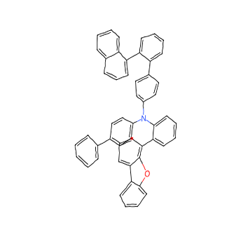 c1ccc(-c2ccc(N(c3ccc(-c4ccccc4-c4cccc5ccccc45)cc3)c3ccccc3-c3cccc4c3oc3ccccc34)cc2)cc1